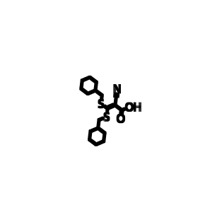 N#CC(C(=O)O)=C(SCC1CCCCC1)SCC1CCCCC1